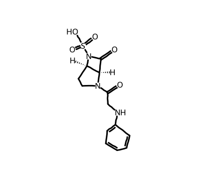 O=C(CNc1ccccc1)N1CC[C@@H]2[C@H]1C(=O)N2S(=O)(=O)O